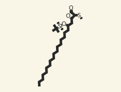 CCCCCCCCCCCCCCCCCC(CC1OC(=O)C1SC)O[Si](C)(C)C(C)(C)C